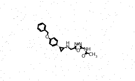 CC(=O)Nc1nnc(CN[C@H]2C[C@@H]2c2ccc(OCc3ccccc3)cc2)o1